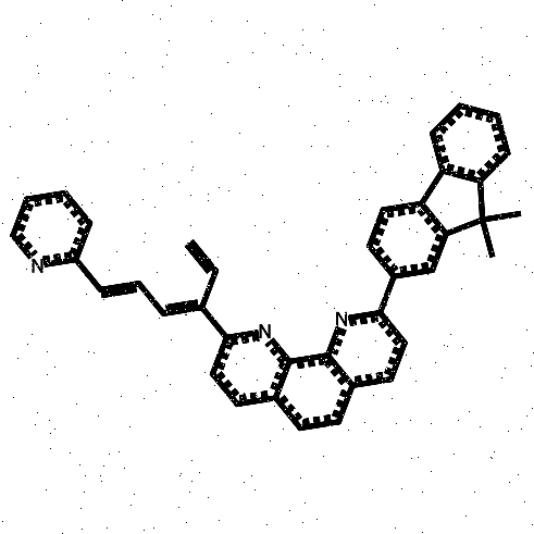 C=C/C(=C\C=C\c1ccccn1)c1ccc2ccc3ccc(-c4ccc5c(c4)C(C)(C)c4ccccc4-5)nc3c2n1